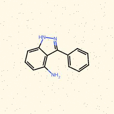 Nc1cccc2[nH]nc(-c3ccccc3)c12